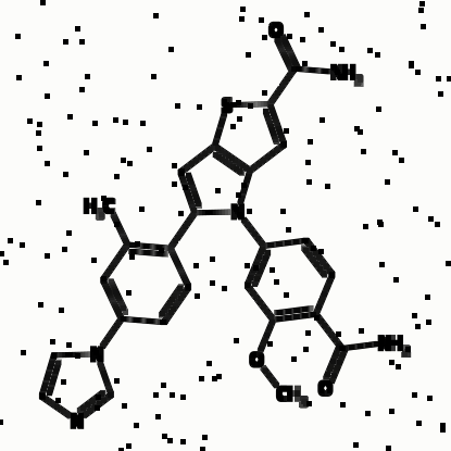 COc1cc(-n2c(-c3ccc(-n4ccnc4)cc3C)cc3sc(C(N)=O)cc32)ccc1C(N)=O